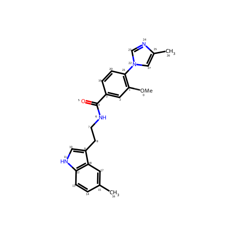 COc1cc(C(=O)NCCc2c[nH]c3ccc(C)cc23)ccc1-n1cnc(C)c1